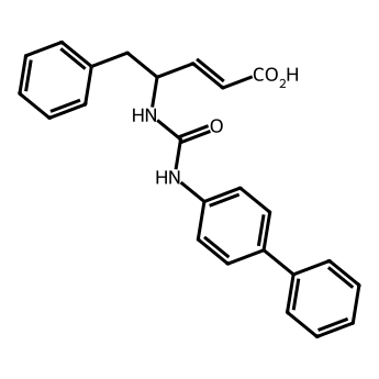 O=C(O)C=CC(Cc1ccccc1)NC(=O)Nc1ccc(-c2ccccc2)cc1